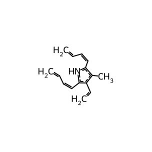 C=C/C=C\c1[nH]c(/C=C\C=C)c(C=C)c1C